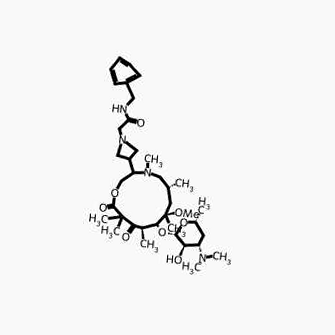 CO[C@]1(C)C[C@@H](C)CN(C)C(C2CN(CC(=O)NCc3ccccc3)C2)COC(=O)C(C)(C)C(=O)[C@H](C)[C@H]1O[C@@H]1O[C@H](C)C[C@H](N(C)C)[C@H]1O